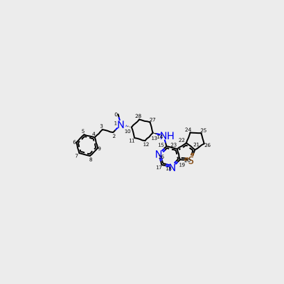 CN(CCc1ccccc1)[C@H]1CC[C@H](Nc2ncnc3sc4c(c23)CCC4)CC1